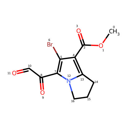 COC(=O)c1c(Br)c(C(=O)C=O)n2c1CCC2